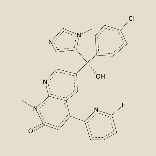 Cn1cncc1[C@@](O)(c1ccc(Cl)cc1)c1cnc2c(c1)c(-c1cccc(F)n1)cc(=O)n2C